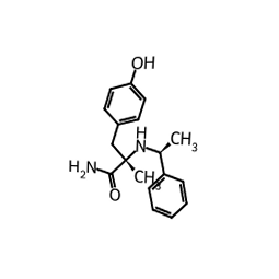 C[C@H](N[C@@](C)(Cc1ccc(O)cc1)C(N)=O)c1ccccc1